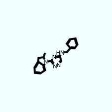 CC1Cc2ccccc2N1c1nncc(NCc2ccccc2)n1